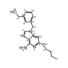 CCCCOc1nc(N)c2ncn(Cc3cccc(CO)c3)c2n1